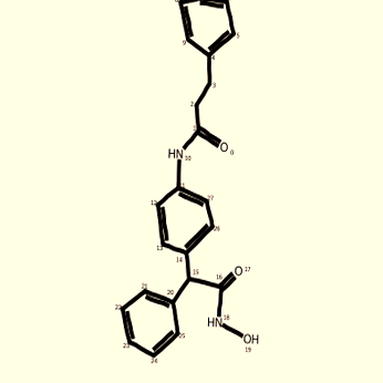 O=C(CCc1ccccc1)Nc1ccc(C(C(=O)NO)c2ccccc2)cc1